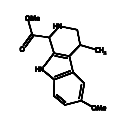 COC(=O)C1NCC(C)c2c1[nH]c1ccc(OC)cc21